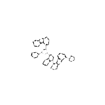 c1ccc(-c2cccc3c2oc2cccc(-c4ccc(C5NC(c6cccc7oc8ccccc8c67)=NC(c6ccccc6)N5)c5ccccc45)c23)cc1